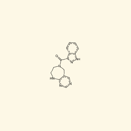 O=C(c1n[nH]c2ccccc12)N1CCNc2ncncc2C1